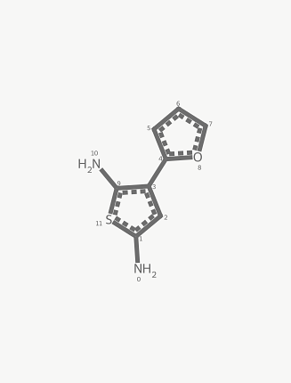 Nc1cc(-c2ccco2)c(N)s1